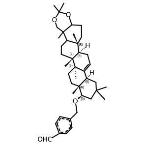 CC1(C)C[C@@H]2C3=CC[C@@H]4[C@@]5(C)CCC6OC(C)(C)OCC6(C)C5CC[C@@]4(C)[C@]3(C)CC[C@@]2(C)[C@H](OCc2ccc(C=O)cc2)C1